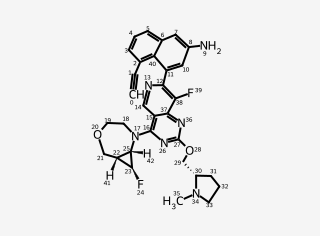 C#Cc1cccc2cc(N)cc(-c3ncc4c(N5CCOC[C@H]6[C@H](F)[C@H]65)nc(OC[C@@H]5CCCN5C)nc4c3F)c12